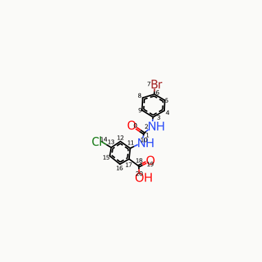 O=C(Nc1ccc(Br)cc1)Nc1cc(Cl)ccc1C(=O)O